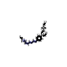 CC/N=C/C=C\C=C\C=C\c1ccc(N(CC)CCSSCC)cc1